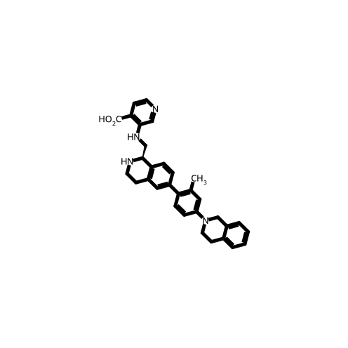 Cc1cc(N2CCc3ccccc3C2)ccc1-c1ccc2c(c1)CCN[C@H]2CNc1cnccc1C(=O)O